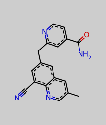 Cc1cnc2c(C#N)cc(Cc3cc(C(N)=O)ccn3)cc2c1